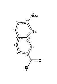 CCC(=O)c1ccc2ccc(NC)nc2c1